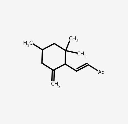 C=C1CC(C)CC(C)(C)C1C=CC(C)=O